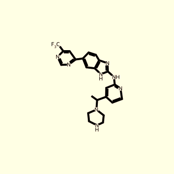 CC(c1ccnc(Nc2nc3ccc(-c4cc(C(F)(F)F)ncn4)cc3[nH]2)c1)N1CCNCC1